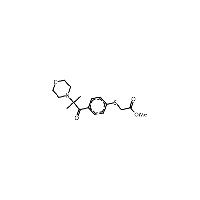 COC(=O)CSc1ccc(C(=O)C(C)(C)N2CCOCC2)cc1